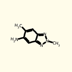 Cc1cc2nn(C)nc2cc1N